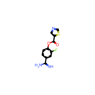 N=C(N)c1ccc(OC(=O)c2cncs2)c(F)c1